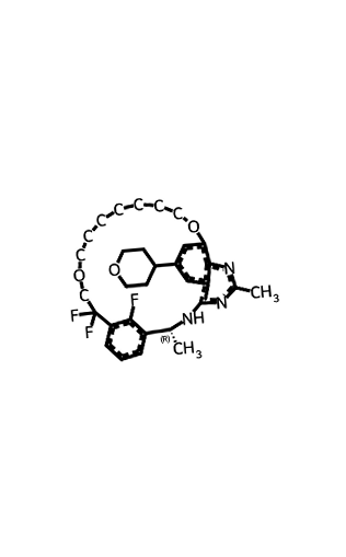 Cc1nc2c3cc(C4CCOCC4)cc(c3n1)OCCCCCCCOCC(F)(F)c1cccc(c1F)[C@@H](C)N2